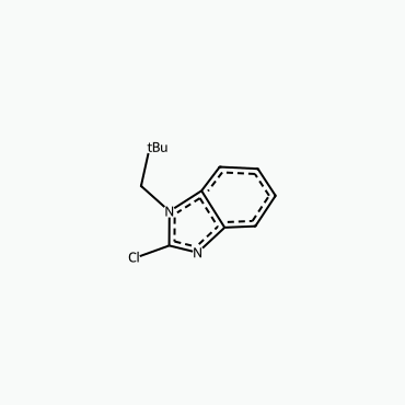 CC(C)(C)Cn1c(Cl)nc2ccccc21